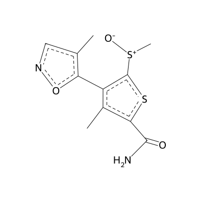 Cc1cnoc1-c1c([S+](C)[O-])sc(C(N)=O)c1C